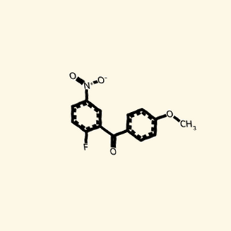 COc1ccc(C(=O)c2cc([N+](=O)[O-])ccc2F)cc1